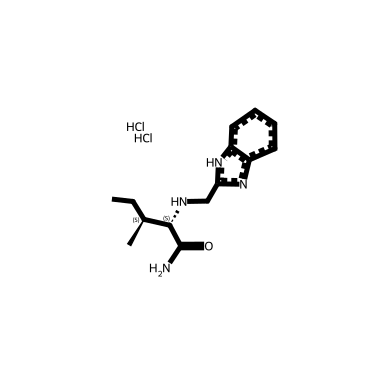 CC[C@H](C)[C@H](NCc1nc2ccccc2[nH]1)C(N)=O.Cl.Cl